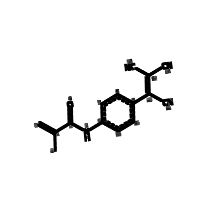 C=C(C)C(=O)Nc1ccc(C(C#N)=C(C#N)C#N)cc1